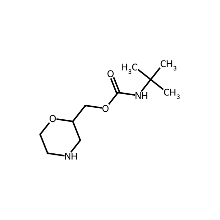 CC(C)(C)NC(=O)OCC1CNCCO1